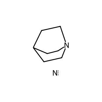 C1CN2CCC1CC2.[N]